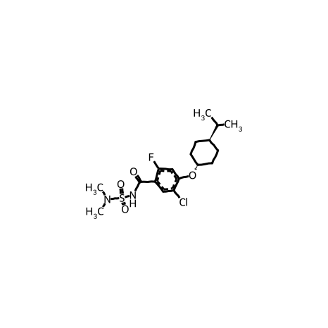 CC(C)[C@H]1CC[C@H](Oc2cc(F)c(C(=O)NS(=O)(=O)N(C)C)cc2Cl)CC1